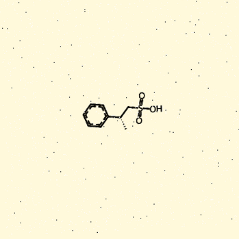 C[C@@H](CS(=O)(=O)O)c1ccccc1